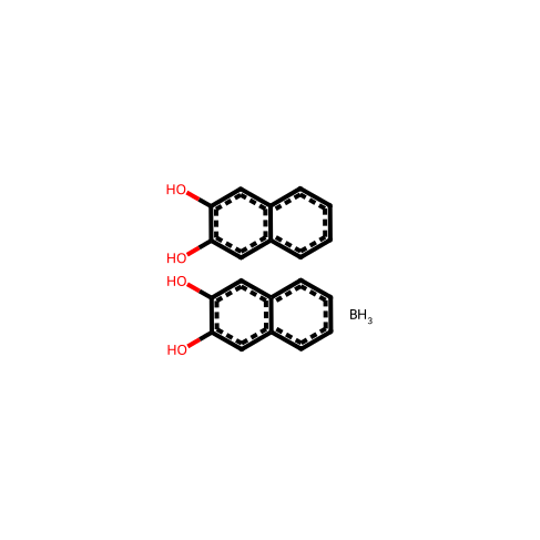 B.Oc1cc2ccccc2cc1O.Oc1cc2ccccc2cc1O